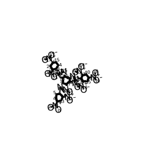 O=[N+]([O-])c1ccc(-n2nc3c4nn(-c5ccc([N+](=O)[O-])cc5[N+](=O)[O-])nc4c4nn(-c5c([N+](=O)[O-])cc([N+](=O)[O-])cc5[N+](=O)[O-])nc4c3n2)c([N+](=O)[O-])c1